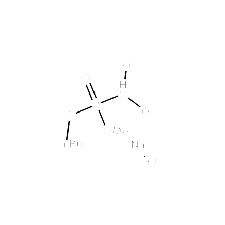 CCCCOP(=O)(OC)[SiH]([O-])[O-].[Na+].[Na+]